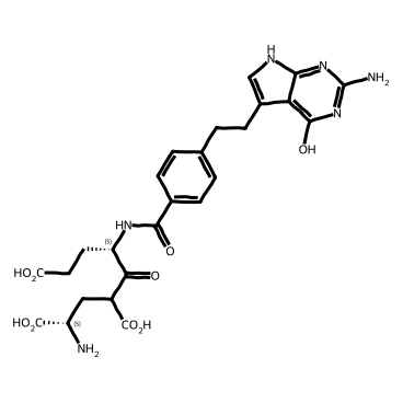 Nc1nc(O)c2c(CCc3ccc(C(=O)N[C@@H](CCC(=O)O)C(=O)C(C[C@H](N)C(=O)O)C(=O)O)cc3)c[nH]c2n1